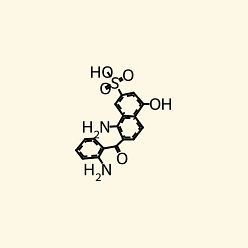 Nc1ccccc1C(=O)c1ccc2c(O)cc(S(=O)(=O)O)cc2c1N